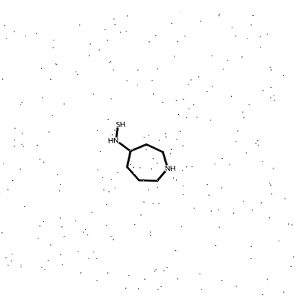 SNC1CCCNCC1